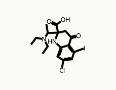 CCN(CC)C(C)C1(C(=O)O)CC(=O)c2c(I)cc(Cl)cc2N1